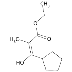 CCOC(=O)C(C)=C(O)C1CCCC1